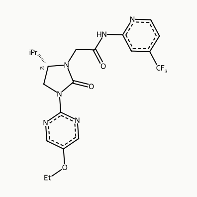 CCOc1cnc(N2C[C@H](C(C)C)N(CC(=O)Nc3cc(C(F)(F)F)ccn3)C2=O)nc1